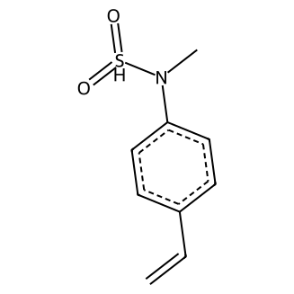 C=Cc1ccc(N(C)[SH](=O)=O)cc1